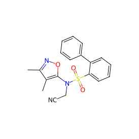 Cc1noc(N(CC#N)S(=O)(=O)c2ccccc2-c2ccccc2)c1C